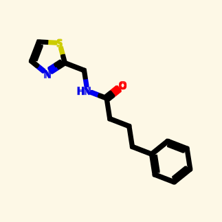 O=C(CCCc1ccccc1)NCc1nccs1